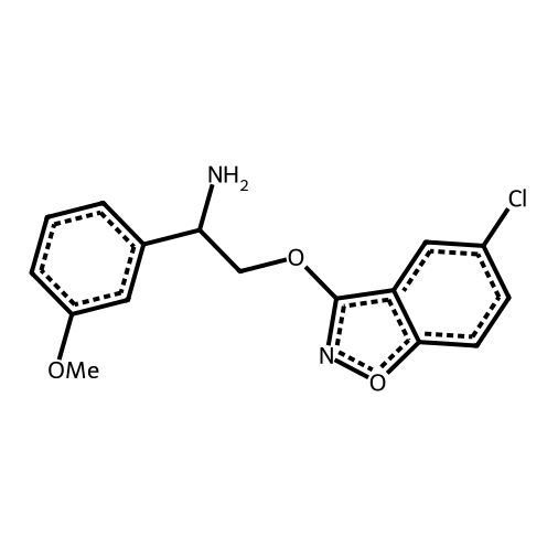 COc1cccc(C(N)COc2noc3ccc(Cl)cc23)c1